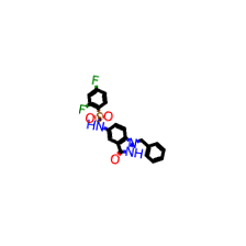 O=c1[nH]n(Cc2ccccc2)c2ccc(NS(=O)(=O)c3ccc(F)cc3F)cc12